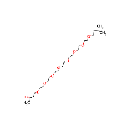 CC(=O)CCOCCOCCOCCOCCOCCOCCOCCOCCC(C)C